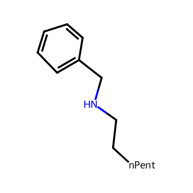 CCCCCCCNCc1ccccc1